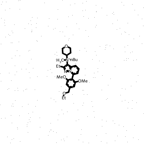 CCCC[N+](C)(c1c(CC)nn2c(-c3c(OC)cc(COCC)cc3OC)cccc12)C1CCOCC1